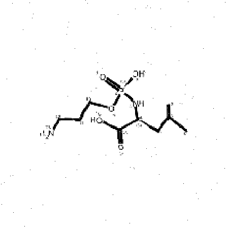 CC(C)C[C@H](N[P@](=O)(O)OCCCN)C(=O)O